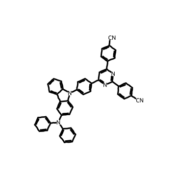 N#Cc1ccc(-c2cc(-c3ccc(-n4c5ccccc5c5cc(N(c6ccccc6)c6ccccc6)ccc54)cc3)nc(-c3ccc(C#N)cc3)n2)cc1